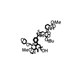 C=C/C(=C(\N=C/C)[C@H](C)OC)c1c(CC(C)(C)CO)c2cc(C3CSC(C[C@H](NC(=O)OC(C)(C)C)C(=O)N4CCC[C@@H](C(=O)OC)N4)=N3)ccc2n1CCOC1CCOCC1